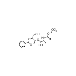 C[C@H](NC(=O)OCC(Cl)(Cl)Cl)C(O)OC1COC(c2ccccc2)O[C@H]1CO